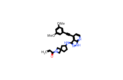 C=CC(=O)N1CC2(CCC(Nc3n[nH]c4nccc(C#Cc5cc(OC)cc(OC)c5)c34)C2)C1